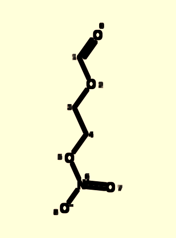 O=COCCO[N+](=O)[O-]